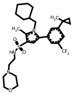 Cc1c(S(=O)(=O)NCCN2CCOCC2)cc(-c2cc(C(F)(F)F)cc(C3(C)CC3)c2)n1CC1CCCCC1